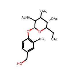 CC(=O)NC1C(OC(C)=O)[C@H](OC(C)=O)C(COC(C)=O)O[C@H]1Oc1ccc(CO)cc1[N+](=O)[O-]